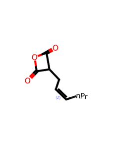 CCC/C=C\CC1C(=O)OC1=O